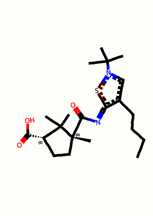 CCCCc1cn(C(C)(C)C)sc1=NC(=O)[C@]1(C)CC[C@H](C(=O)O)C1(C)C